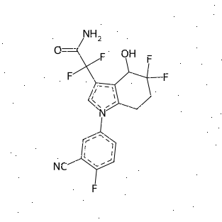 N#Cc1cc(-n2cc(C(F)(F)C(N)=O)c3c2CCC(F)(F)C3O)ccc1F